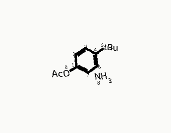 CC(=O)Oc1ccc(C(C)(C)C)cc1.N